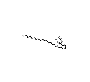 O=C=NC(N=C=O)c1ccccc1CCCCCCCCCCCCCCCCCCO